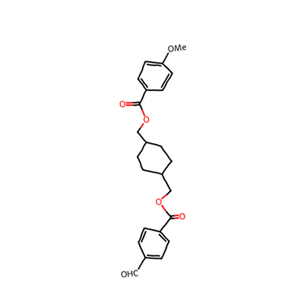 COc1ccc(C(=O)OCC2CCC(COC(=O)c3ccc(C=O)cc3)CC2)cc1